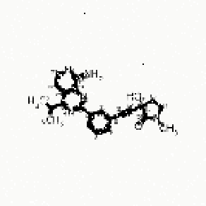 CC(C)c1nc(-c2cccc(C#C[C@@]3(O)CCN(C)C3=O)c2)nc2c(N)nccc12